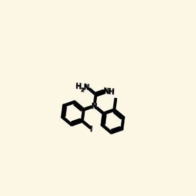 Cc1ccccc1N(C(=N)N)c1ccccc1I